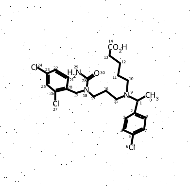 CC(c1ccc(Cl)cc1)N(CCCCC(=O)O)CCCN(Cc1ccc(Cl)cc1Cl)C(N)=O